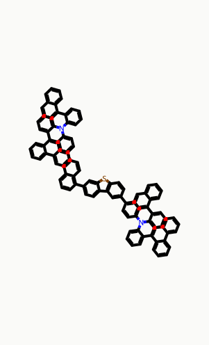 c1ccc(N(c2ccc(-c3ccc4c(-c5ccc6c(c5)sc5ccc(-c7ccc(N(c8ccccc8-c8cccc9ccccc89)c8ccccc8-c8cc9ccccc9c9ccccc89)cc7)cc56)cccc4c3)cc2)c2ccccc2-c2cc3ccccc3c3ccccc23)c(-c2cccc3ccccc23)c1